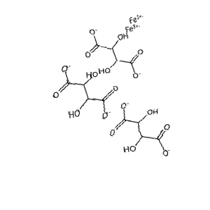 O=C([O-])C(O)C(O)C(=O)[O-].O=C([O-])C(O)C(O)C(=O)[O-].O=C([O-])C(O)C(O)C(=O)[O-].[Fe+3].[Fe+3]